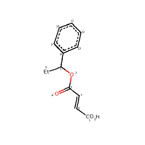 CCC(OC(=O)C=CC(=O)O)c1ccccc1